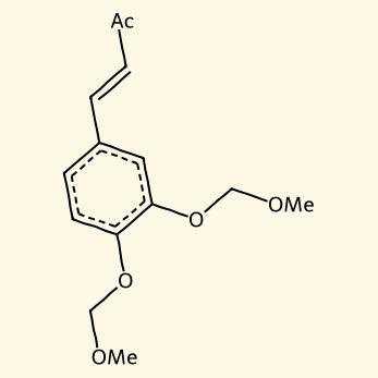 COCOc1ccc(C=CC(C)=O)cc1OCOC